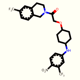 O=C(COC1CCC(Nc2ccc([N+](=O)[O-])c(C(F)(F)F)c2)CC1)N1CCc2cc(C(F)(F)F)ccc2C1